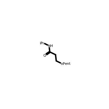 [CH2]CCCCCCC(=O)NC(C)C